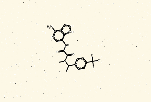 CC(c1ccc(C(F)(F)C(F)(F)F)cc1)N(C)C(=O)C(=O)Nc1cnc(N)c2cn[nH]c12